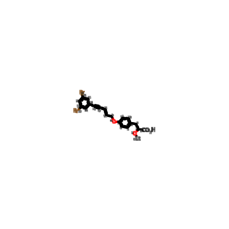 CCO[C@@H](Cc1ccc(OC/C=C/C#Cc2cc(Br)cc(Br)c2)cc1)C(=O)O